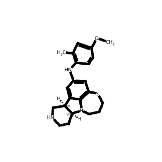 COc1ccc(Nc2cc3c4c(c2)[C@@H]2CNCC[C@@H]2N4CCCS3)c(C)c1